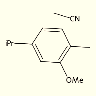 CC#N.COc1cc(C(C)C)ccc1C